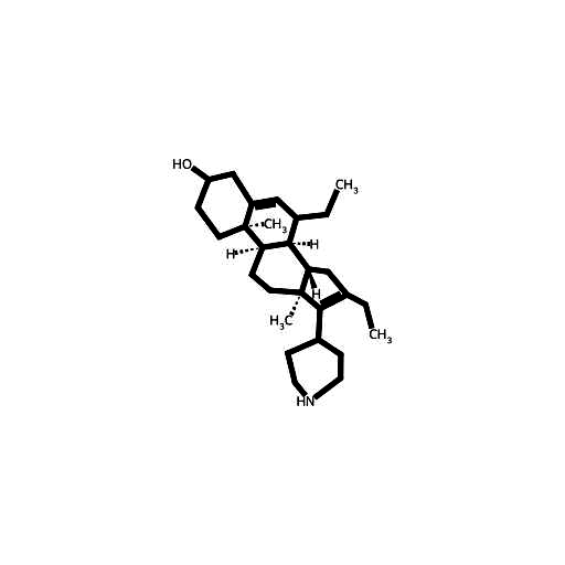 CCC1=C(C2CCNCC2)[C@@]2(C)CC[C@@H]3[C@@H](C(CC)C=C4CC(O)CC[C@@]43C)[C@@H]2C1